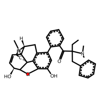 CCC(Cc1ccccc1)(C(=O)c1ccccc1-c1cc(O)c2c3c1C[C@@H]1[C@@H]4C=C[C@H](O)[C@H](O2)[C@]34CCN1C)N(C)C